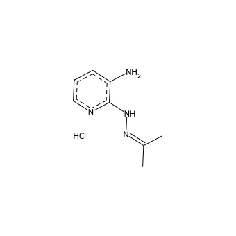 CC(C)=NNc1ncccc1N.Cl